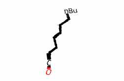 CCCCC[CH]CCCC=C=O